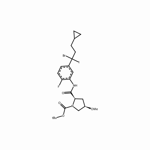 CO[C@@H]1C[C@H](C(=O)Nc2cc(C(Br)(I)CCC3CC3)ccc2F)N(C(=O)OC(C)(C)C)C1